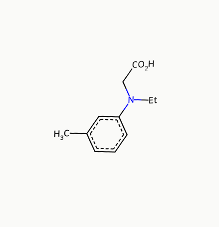 CCN(CC(=O)O)c1cccc(C)c1